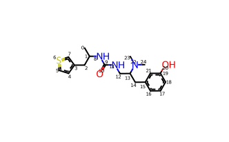 CC(Cc1ccsc1)NC(=O)NCC(Cc1cccc(O)c1)N(C)C